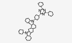 c1ccc(-c2nc(-c3ccccc3)nc(-c3ccc(-n4c5ccccc5c5c6cc7c(cc6ccc54)c4ccccc4n7-c4ccccc4)cc3)n2)cc1